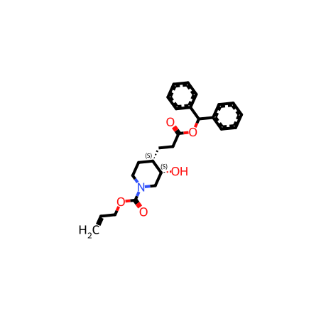 C=CCOC(=O)N1CC[C@H](CCC(=O)OC(c2ccccc2)c2ccccc2)[C@H](O)C1